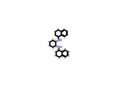 c1ccc2c(c1)CCCC2N[C@@H]1CCCC[C@H]1NC1CCCc2ccccc21